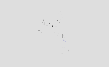 CCC(Oc1nc(N/N=C/c2cccc(C)c2)cc(N2CCOCC2)n1)c1ncccn1